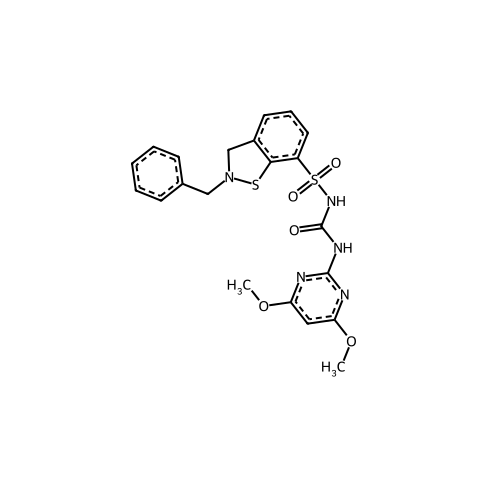 COc1cc(OC)nc(NC(=O)NS(=O)(=O)c2cccc3c2SN(Cc2ccccc2)C3)n1